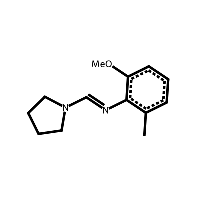 COc1cccc(C)c1N=CN1CCCC1